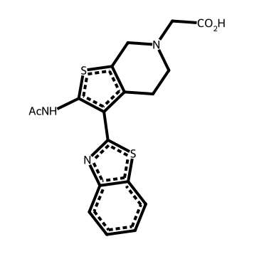 CC(=O)Nc1sc2c(c1-c1nc3ccccc3s1)CCN(CC(=O)O)C2